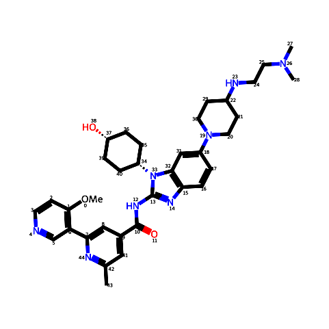 COc1ccncc1-c1cc(C(=O)Nc2nc3ccc(N4CCC(NCCN(C)C)CC4)cc3n2[C@H]2CC[C@@H](O)CC2)cc(C)n1